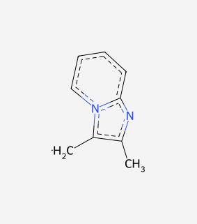 [CH2]c1c(C)nc2ccccn12